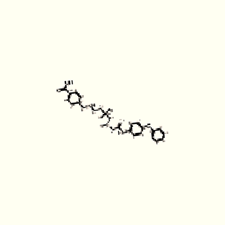 CN(CC(=O)Nc1ccc(Oc2ccccc2)cc1)CC(C)(C)CCNCc1ccc(C(=O)O)cc1